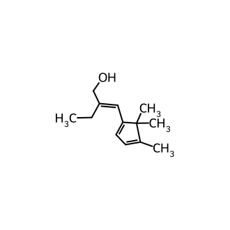 CC/C(=C\C1=CC=C(C)C1(C)C)CO